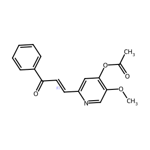 COc1cnc(/C=C/C(=O)c2ccccc2)cc1OC(C)=O